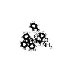 NC(=O)[C@@]1(c2cccc(OCc3ccccc3)c2)C[C@@H]1C(=O)NOC(c1ccccc1)(c1ccccc1)c1ccccc1